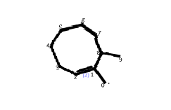 [CH2]/C1=C/CCCCCC1C